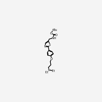 CCN(CC)CCCOc1ccc(-c2ncc(CNC(=O)OC(C)(C)C)s2)cc1